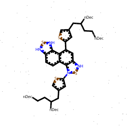 CCCCCCCCCCCCC(CCCCCCCCCC)Cc1csc(-c2cc3[nH]sn(-c4cc(CC(CCCCCCCCCC)CCCCCCCCCCCC)cs4)c3c3ccc4[nH]s[nH]c4c23)c1